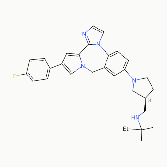 CCC(C)(C)NC[C@@H]1CCN(c2ccc3c(c2)Cn2cc(-c4ccc(F)cc4)cc2-c2nccn2-3)C1